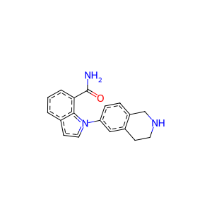 NC(=O)c1cccc2ccn(-c3ccc4c(c3)CCNC4)c12